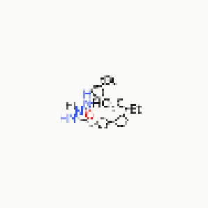 CCC(C(=O)O)c1cccc(-c2ccc(CCCC(=N)N(CC)C(=O)NCc3ccc(C(C)(C)C)cc3)cc2)c1